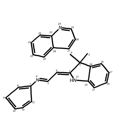 CC1(C)C(=CC=Nc2ccccc2)Nc2ccccc21.c1ccc2ncccc2c1